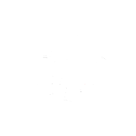 CC(C)(C)c1cc([Si](C)(C)C)c2c(c1)=[C]([Zr+2]=[C](c1ccccc1)c1ccccc1)C1=C(C3=CC=CC3)C(C(C)(C)C)([Si](C)(C)C)C([Si](C)(C)C)=C([Si](C)(C)C)C=21.[Cl-].[Cl-]